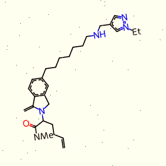 C=CCCC(C(=O)NC)N1Cc2cc(CCCCCCCNCc3cnn(CC)c3)ccc2C1=C